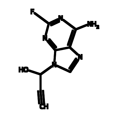 C#CC(O)n1cnc2c(N)nc(F)nc21